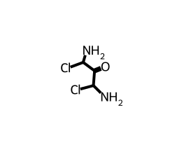 NC(Cl)C(=O)C(N)Cl